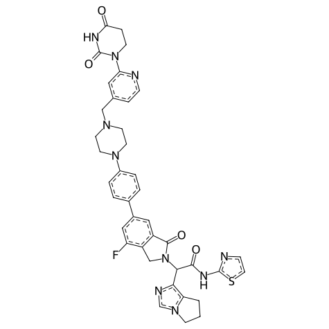 O=C1CCN(c2cc(CN3CCN(c4ccc(-c5cc(F)c6c(c5)C(=O)N(C(C(=O)Nc5nccs5)c5ncn7c5CCC7)C6)cc4)CC3)ccn2)C(=O)N1